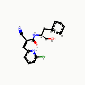 N#CC(=Cc1cccc(Br)n1)C(=O)N[C@H](CO)Cc1ccccc1